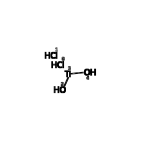 Cl.Cl.[OH][Ti][OH]